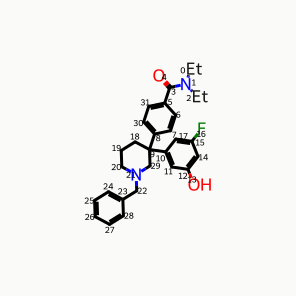 CCN(CC)C(=O)c1ccc(C2(c3cc(O)cc(F)c3)CCCN(Cc3ccccc3)C2)cc1